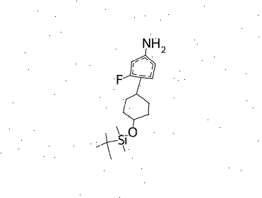 CC(C)(C)[Si](C)(C)OC1CCC(c2ccc(N)cc2F)CC1